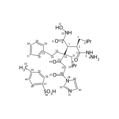 CC(C)C[C@@H](C(=O)NN)[C@H](C(=O)NO)C(CCc1ccccc1)(CC(C)C)C(=O)CC(=O)n1ccnc1.Cc1ccc(S(=O)(=O)O)cc1